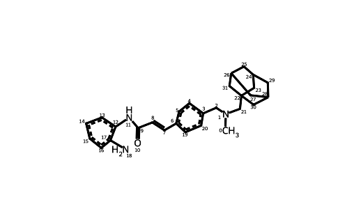 CN(Cc1ccc(C=CC(=O)Nc2ccccc2N)cc1)CC12CC3CC(CC(C3)C1)C2